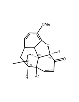 COC1=C2O[C@H]3C(=O)C=CC4(C(C)=O)[C@H]5CC(C=C1)C2[C@@]34CCN5C